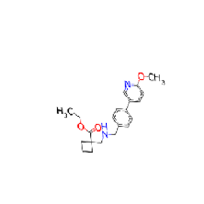 CCOC(=O)C1(CNCc2ccc(-c3ccc(OC)nc3)cc2)CCC1